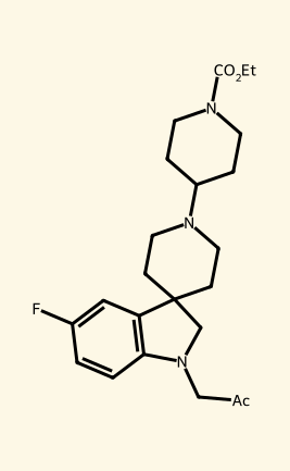 CCOC(=O)N1CCC(N2CCC3(CC2)CN(CC(C)=O)c2ccc(F)cc23)CC1